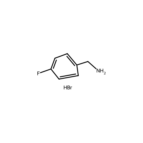 Br.NCc1ccc(F)cc1